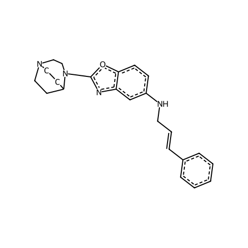 C(=Cc1ccccc1)CNc1ccc2oc(N3CCN4CCC3CC4)nc2c1